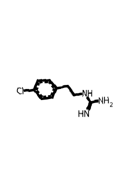 N=C(N)NCCc1ccc(Cl)cc1